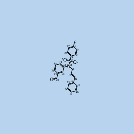 Cc1ccc(S(=O)(=O)N(C/C=C/c2ccccc2)c2cccc(C=O)c2)cc1